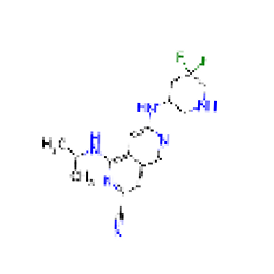 CC(C)Nc1nc(C#N)cc2cnc(NC3CNCC(F)(F)C3)cc12